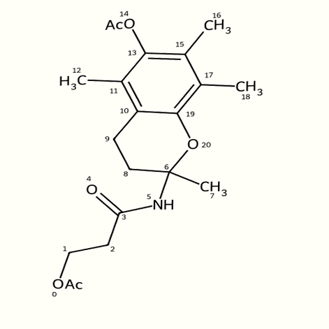 CC(=O)OCCC(=O)NC1(C)CCc2c(C)c(OC(C)=O)c(C)c(C)c2O1